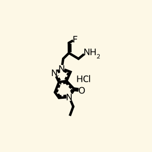 CCn1ccc2nn(C/C(=C/F)CN)cc2c1=O.Cl